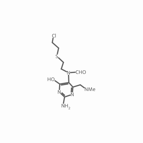 CNCc1nc(N)nc(O)c1N(C=O)CCSCCCl